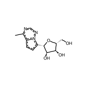 Cc1ncnn2c([C@@H]3O[C@H](CO)[C@@H](O)[C@H]3O)ccc12